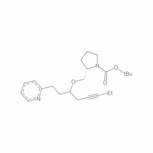 CCC#CCC(CCc1ccccn1)OC[C@@H]1CCCN1C(=O)OC(C)(C)C